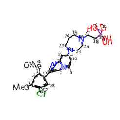 COc1cc(OC)c(-c2cn3ccc(N4CCCN(CCP(=O)(O)O)CC4)cc3n2)cc1Cl